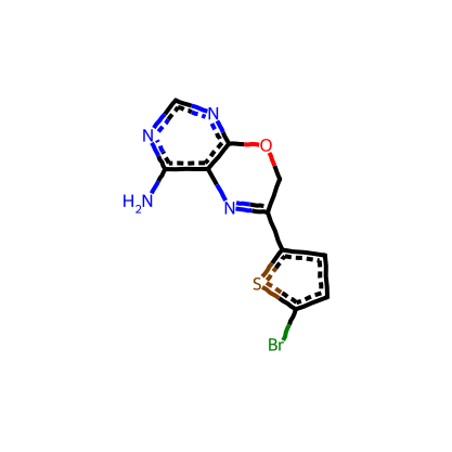 Nc1ncnc2c1N=C(c1ccc(Br)s1)CO2